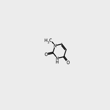 Cn1[c]cc(=O)[nH]c1=O